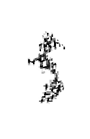 CC1(C(=O)Nc2c[nH]c3ccc(OCC[C@@H]4C[C@@H]5CN(CC(F)(F)F)C[C@@H]5C4)cc23)CCOC1